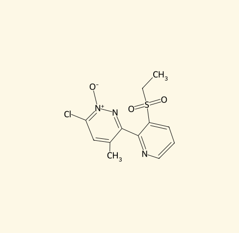 CCS(=O)(=O)c1cccnc1-c1n[n+]([O-])c(Cl)cc1C